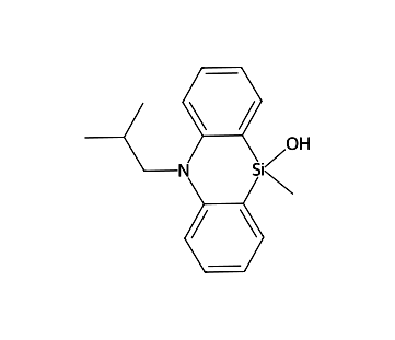 CC(C)CN1c2ccccc2[Si](C)(O)c2ccccc21